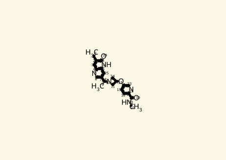 CCc1cc2ncc([C@@H](C)N3CC(Oc4ccc(C(=O)NC)nc4)C3)cc2[nH]c1=O